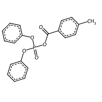 Cc1ccc(C(=O)OP(=O)(Oc2ccccc2)Oc2ccccc2)cc1